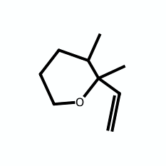 C=CC1(C)OCCCC1C